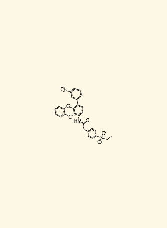 CCS(=O)(=O)c1ccc(CC(=O)Nc2ccc(-c3cccc(Cl)c3)c(Oc3ccccc3Cl)c2)cc1